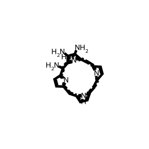 Nc1c(N)c2c(N)c3nc(cc4ccc(cc5nc(cc1n2N)C=C5)[nH]4)C=C3